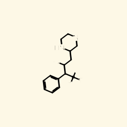 OC(CC1CNCCN1)C(c1ccccc1)C(F)(F)F